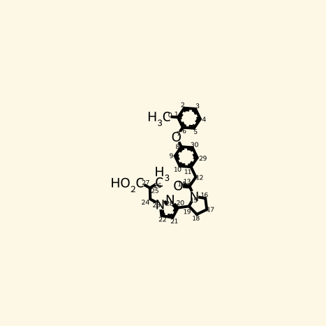 Cc1ccccc1Oc1ccc(CC(=O)N2CCCC2c2ccn(CC(C)C(=O)O)n2)cc1